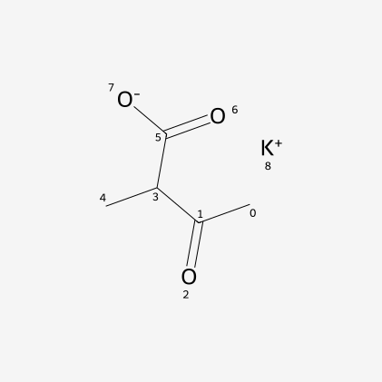 CC(=O)C(C)C(=O)[O-].[K+]